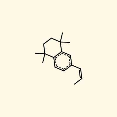 C/C=C\c1ccc2c(c1)C(C)(C)CCC2(C)C